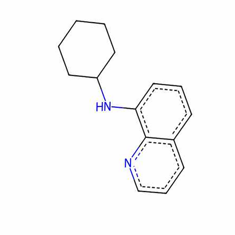 c1cnc2c(NC3CCCCC3)cccc2c1